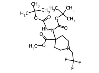 COC(=O)C1(N(NC(=O)OC(C)(C)C)C(=O)OC(C)(C)C)CCN(CC(F)(F)F)CC1